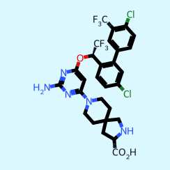 Nc1nc(O[C@H](c2ccc(Cl)cc2-c2ccc(Cl)c(C(F)(F)F)c2)C(F)(F)F)cc(N2CCC3(CC2)CNC(C(=O)O)C3)n1